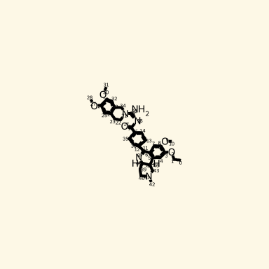 CCOc1cc2c(cc1OC)C(c1ccc(C(=O)N=C(N)N3CCc4cc(OC)c(OC)cc4C3)cc1)=N[C@@H]1CCN(C)C[C@H]21